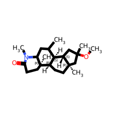 COC1(C)C[C@H]2[C@@H]3C(C)CC4N(C)C(=O)CC[C@]4(C)[C@@H]3CC[C@]2(C)C1